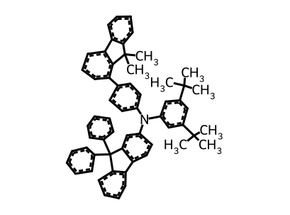 CC(C)(C)c1cc(N(c2ccc(-c3cccc4c3C(C)(C)c3ccccc3-4)cc2)c2ccc3c(c2)C(c2ccccc2)(c2ccccc2)c2ccccc2-3)cc(C(C)(C)C)c1